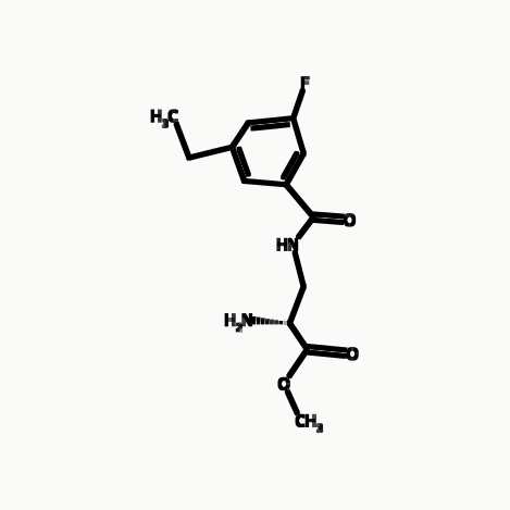 CCc1cc(F)cc(C(=O)NC[C@@H](N)C(=O)OC)c1